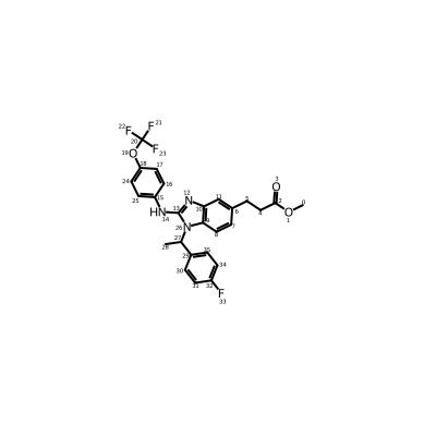 COC(=O)CCc1ccc2c(c1)nc(Nc1ccc(OC(F)(F)F)cc1)n2C(C)c1ccc(F)cc1